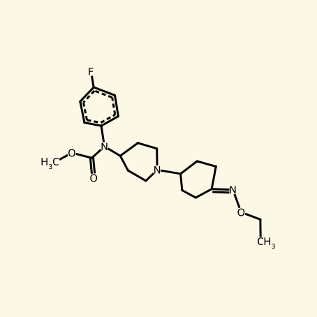 CCON=C1CCC(N2CCC(N(C(=O)OC)c3ccc(F)cc3)CC2)CC1